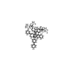 CC(C)(C)c1ccc2c(c1)c1cc(C(C)(C)C)cc3c1n2B1c2cc(-c4ccccc4)ccc2N(c2ccc(-c4ccccc4)cc2)c2cc4ccccc4c-3c21